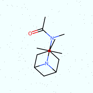 CC(=O)N(C)C1CC2CC(C1)N2C(C)(C)C